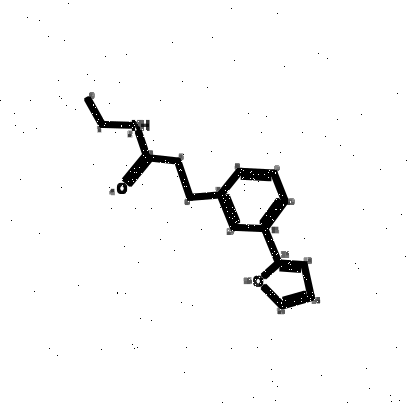 CCNC(=O)CCc1cccc(-c2ccco2)c1